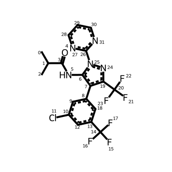 CC(C)C(=O)Nc1c(-c2cc(Cl)cc(C(F)(F)F)c2)c(C(F)(F)F)nn1-c1ncccn1